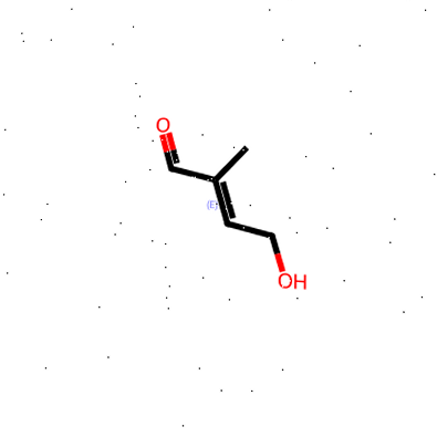 C/C(C=O)=C\CO